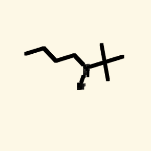 CCCC[SiH](Br)C(C)(C)C